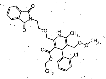 CCOC(=O)C1=C(COCCN2C(=O)c3ccccc3C2=O)NC(C)=C(COOC)C1c1ccccc1Cl